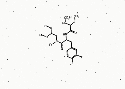 CCOC(CN(C(=O)C(Cc1ccc(F)c(F)c1)NC(=O)C(CN)NC(=O)O)C(C)C)OCC